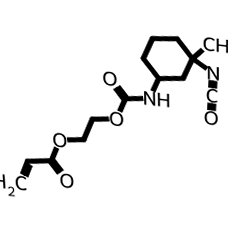 C=CC(=O)OCCOC(=O)NC1CCCC(C)(N=C=O)C1